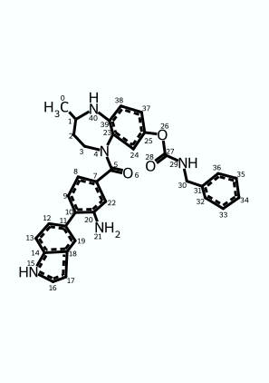 CC1CCN(C(=O)c2ccc(-c3ccc4[nH]ccc4c3)c(N)c2)c2cc(OC(=O)NCc3ccccc3)ccc2N1